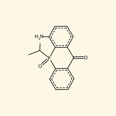 CC(C)P1(=O)c2ccccc2C(=O)c2cccc(N)c21